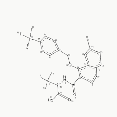 CC(C)(C)[C@H](NC(=O)c1ccc2ccc(F)cc2c1OCc1ccc(C(F)(F)F)cc1)C(=O)O